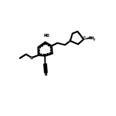 CCOc1ccc(CCN2CC[C@H](N)C2)cc1C#N.Cl